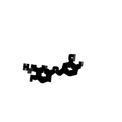 Nc1nc(OCc2ccc(F)c(Cl)c2)ncc1F